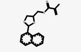 C=C(C)C(=O)SCC1CSC(c2cccc3ccccc23)S1